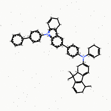 CC1CC=CC2=C1C1=CC=C(N(C3=CC=CCC3)c3ccc(-c4ccc5c(c4)c4c(n5-c5ccc(-c6ccccc6)cc5)C=CCC4)cc3)CC1C2(C)C